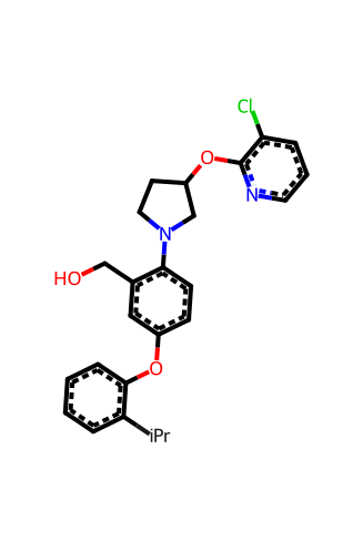 CC(C)c1ccccc1Oc1ccc(N2CCC(Oc3ncccc3Cl)C2)c(CO)c1